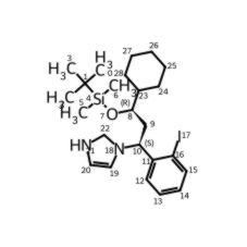 CC(C)(C)[Si](C)(C)O[C@H](C[C@@H](c1ccccc1I)N1C=CNC1)C1CCCCC1